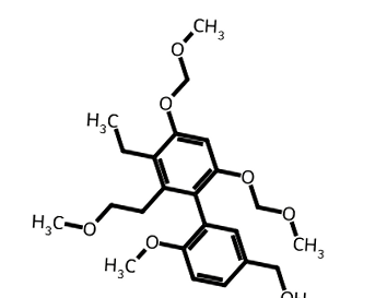 CCc1c(OCOC)cc(OCOC)c(-c2cc(CO)ccc2OC)c1CCOC